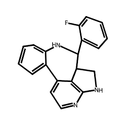 Fc1ccccc1C1Nc2ccccc2-c2ccnc3c2C1CN3